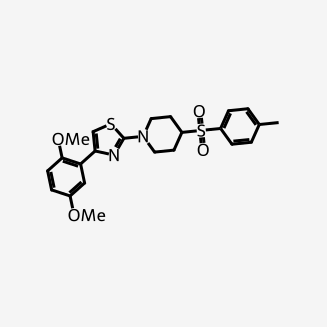 COc1ccc(OC)c(-c2csc(N3CCC(S(=O)(=O)c4ccc(C)cc4)CC3)n2)c1